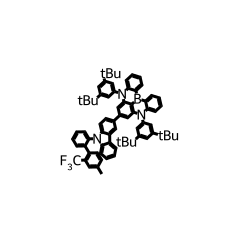 Cc1ccc(-c2ccccc2-n2c3ccccc3c3cc(-c4cc5c6c(c4)N(c4cc(C(C)(C)C)cc(C(C)(C)C)c4)c4ccccc4B6c4ccccc4N5c4cc(C(C)(C)C)cc(C(C)(C)C)c4)ccc32)c(C(F)(F)F)c1